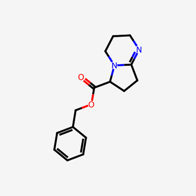 O=C(OCc1ccccc1)C1CCC2=NCCCN21